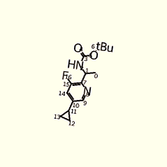 CC(NC(=O)OC(C)(C)C)c1ncc(C2CC2)cc1F